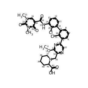 COc1nc(-c2cccc(-c3cccc(NC(=O)c4cn(C)c(=O)n(C)c4=O)c3Cl)c2Cl)cnc1CN1CCCCC1C(=O)O